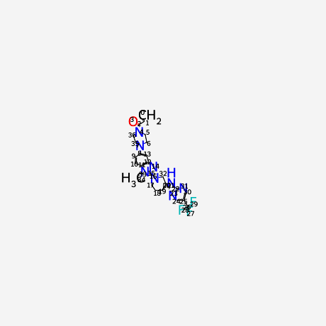 C=CC(=O)N1CCN(c2ccc3c(c2)nc(N2CCC[C@@H](Nc4ncc(C(F)(F)F)cn4)C2)n3C)CC1